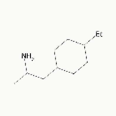 CCC1CCC(CC(C)N)CC1